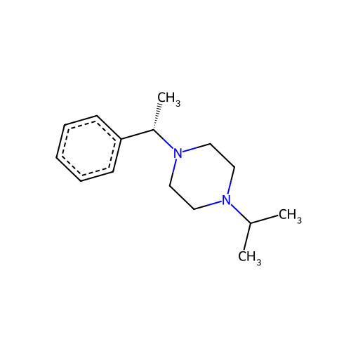 CC(C)N1CCN([C@@H](C)c2ccccc2)CC1